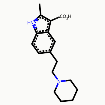 Cc1[nH]c2ccc(CCN3CCCCC3)cc2c1C(=O)O